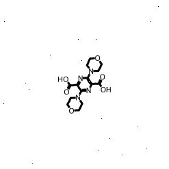 O=C(O)c1nc(N2CCOCC2)c(C(=O)O)nc1N1CCOCC1